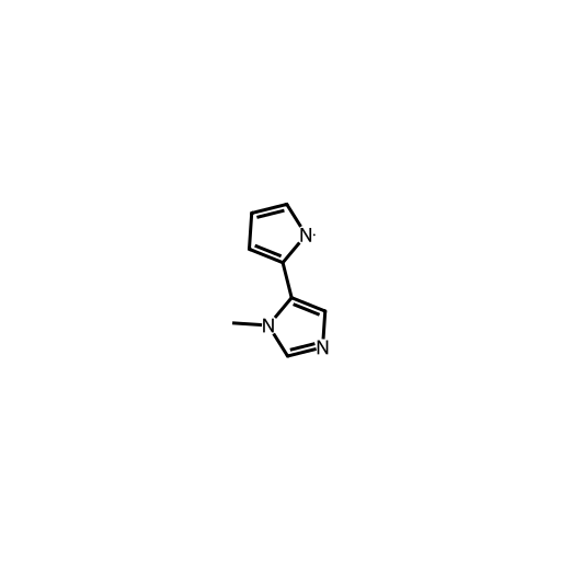 Cn1cncc1C1=CC=C[N]1